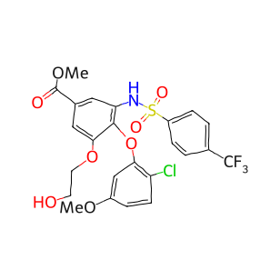 COC(=O)c1cc(NS(=O)(=O)c2ccc(C(F)(F)F)cc2)c(Oc2cc(OC)ccc2Cl)c(OCCO)c1